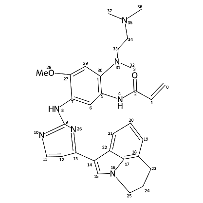 C=CC(=O)Nc1cc(Nc2nccc(-c3cn4c5c(cccc35)CCC4)n2)c(OC)cc1N(C)CCN(C)C